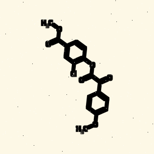 COC(=O)c1ccc(OC(=O)C(=O)c2ccc(OC)cc2)c(Cl)c1